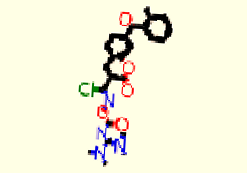 Cc1ccccc1C(=O)c1ccc2cc(/C(Cl)=N/OC(=O)N=C(N(C)C)N(C)C)c(=O)oc2c1